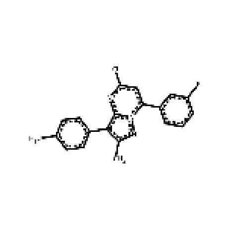 Cc1ccc(-c2c(C)nn3c(-c4cccc(F)c4)cc(Cl)nc23)cc1